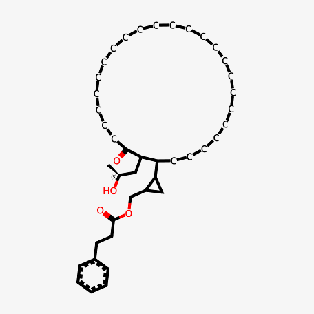 C[C@H](O)CC1C(=O)CCCCCCCCCCCCCCCCCCCCCCCC1C1CC1COC(=O)CCc1ccccc1